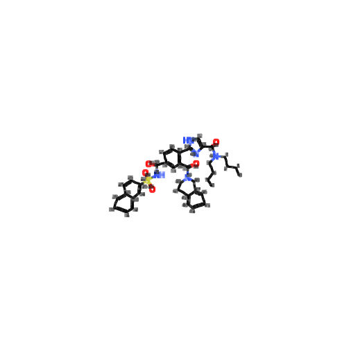 CCCCN(CCCC)C(=O)c1c[nH]c(-c2ccc(C(=O)NS(=O)(=O)c3ccc4ccccc4c3)cc2C(=O)N2CCc3ccccc3C2)n1